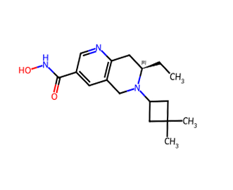 CC[C@@H]1Cc2ncc(C(=O)NO)cc2CN1C1CC(C)(C)C1